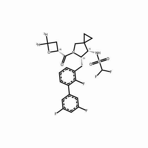 [2H]C1([2H])C[C@H](C(=O)N2CC3(CC3)[C@H](NS(=O)(=O)C(F)F)[C@@H]2Cc2cccc(-c3cc(F)cc(F)c3)c2F)O1